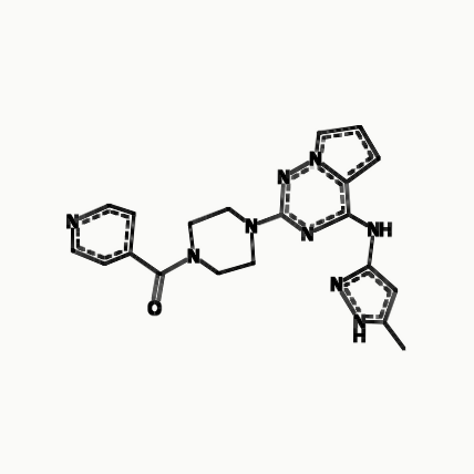 Cc1cc(Nc2nc(N3CCN(C(=O)c4ccncc4)CC3)nn3cccc23)n[nH]1